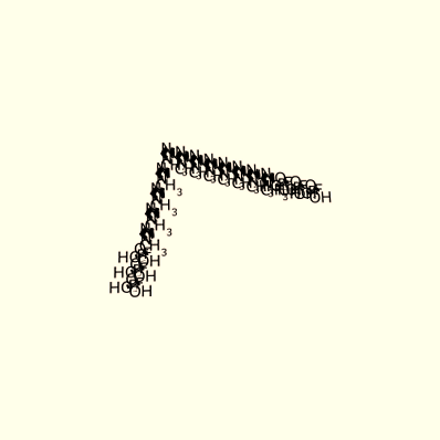 Cn1ccnc1.Cn1ccnc1.Cn1ccnc1.Cn1ccnc1.Cn1ccnc1.Cn1ccnc1.Cn1ccnc1.Cn1ccnc1.Cn1ccnc1.Cn1ccnc1.Cn1ccnc1.Cn1ccnc1.O=P(O)(O)F.O=P(O)(O)F.O=P(O)(O)F.O=P(O)(O)F.O=P(O)(O)F.O=P(O)(O)F